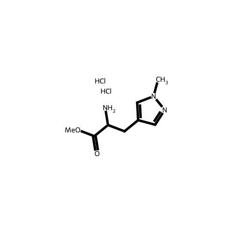 COC(=O)C(N)Cc1cnn(C)c1.Cl.Cl